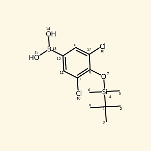 CC(C)(C)[Si](C)(C)Oc1c(Cl)cc(B(O)O)cc1Cl